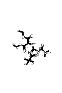 CCOC(=O)C(Sc1nc(C(C)(C)C)nn1C(=O)N(C)C)C(=O)OCC